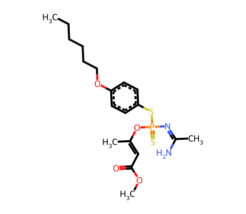 CCCCCCOc1ccc(SP(=S)(N=C(C)N)OC(C)=CC(=O)OC)cc1